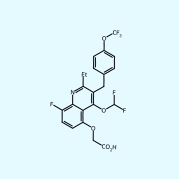 CCc1nc2c(F)ccc(OCC(=O)O)c2c(OC(F)F)c1Cc1ccc(OC(F)(F)F)cc1